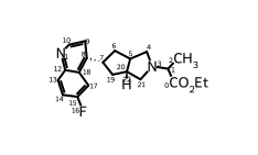 CCOC(=O)C(C)N1CC2C[C@@H](c3ccnc4ccc(F)cc34)C[C@H]2C1